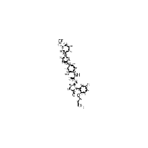 Cc1ccc(OCCC(F)(F)F)c(N2C(=O)CS/C2=N\C(=O)Nc2ccc(-c3ncn(-c4cccc(OC(F)(F)F)c4)n3)cc2C)c1